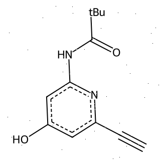 C#Cc1cc(O)cc(NC(=O)C(C)(C)C)n1